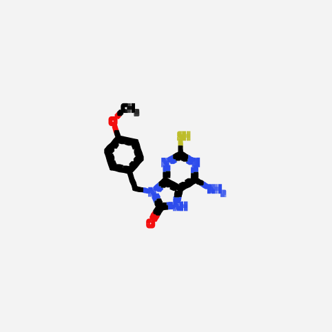 COc1ccc(Cn2c(=O)[nH]c3c(N)nc(S)nc32)cc1